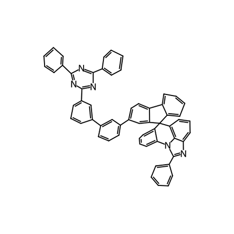 c1ccc(-c2nc(-c3ccccc3)nc(-c3cccc(-c4cccc(-c5ccc6c(c5)C5(c7ccccc7-6)c6ccccc6-n6c(-c7ccccc7)nc7cccc5c76)c4)c3)n2)cc1